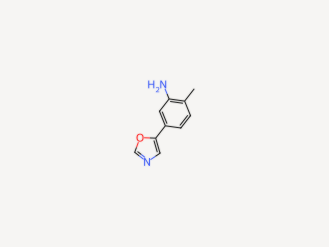 Cc1ccc(-c2cnco2)cc1N